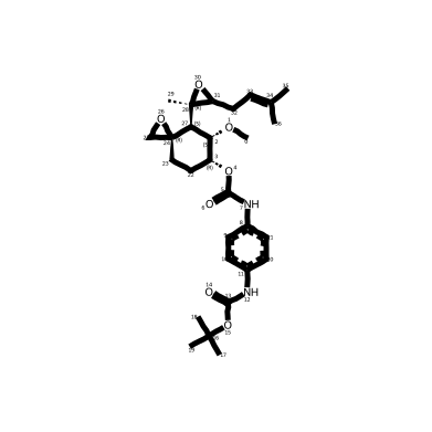 CO[C@@H]1[C@H](OC(=O)Nc2ccc(NC(=O)OC(C)(C)C)cc2)CC[C@]2(CO2)[C@H]1[C@@]1(C)OC1CC=C(C)C